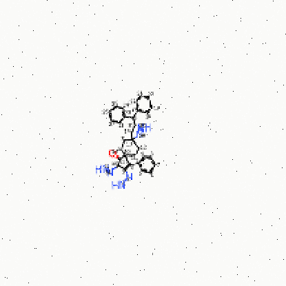 N=NC1=C(c2ccccc2)C2(CCC(CCC(c3ccccc3)c3ccccc3)(N=N)CC2)C(=O)C1N=N